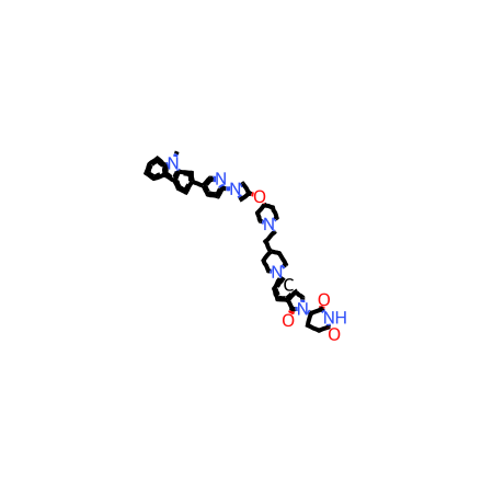 Cn1c2ccccc2c2ccc(-c3ccc(N4CC(OC5CCN(CCC6CCN(c7ccc8c(c7)CN(C7CCC(=O)NC7=O)C8=O)CC6)CC5)C4)nc3)cc21